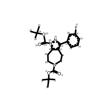 CC(C)(C)OC(=O)N1CCc2c(-c3cccc(F)c3)nn(C(=O)OC(C)(C)C)c2CC1